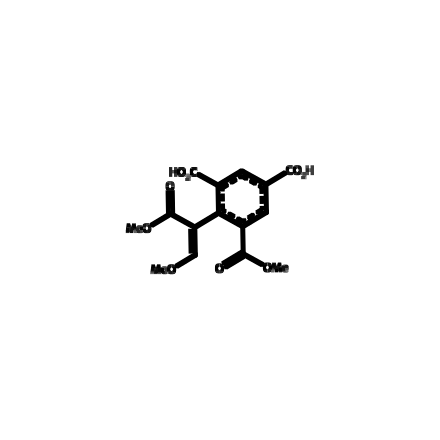 COC=C(C(=O)OC)c1c(C(=O)O)cc(C(=O)O)cc1C(=O)OC